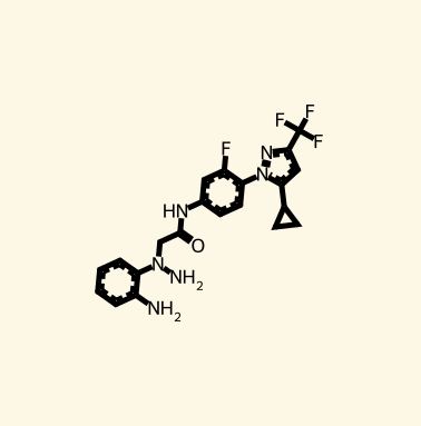 Nc1ccccc1N(N)CC(=O)Nc1ccc(-n2nc(C(F)(F)F)cc2C2CC2)c(F)c1